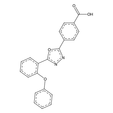 O=C(O)c1ccc(-c2nnc(-c3ccccc3Oc3ccccc3)o2)cc1